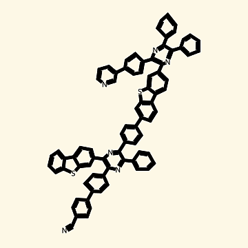 N#Cc1ccc(-c2ccc(-c3nc(-c4ccccc4)c(-c4ccc(-c5ccc6c(c5)sc5cc(-c7nc(-c8ccccc8)c(-c8ccccc8)nc7-c7ccc(-c8cccnc8)cc7)ccc56)cc4)nc3-c3ccc4c(c3)sc3ccccc34)cc2)cc1